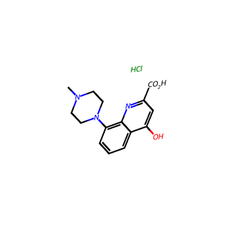 CN1CCN(c2cccc3c(O)cc(C(=O)O)nc23)CC1.Cl